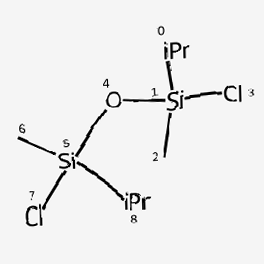 CC(C)[Si](C)(Cl)O[Si](C)(Cl)C(C)C